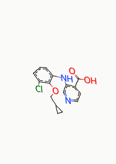 O=C(O)c1ccncc1Nc1cccc(Cl)c1OCC1CC1